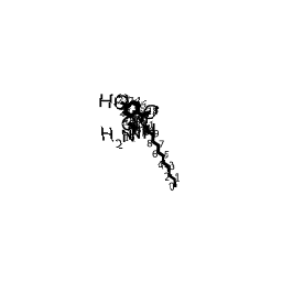 CCCCCCCCCCCCN(C(=O)NN)C(=O)c1ccc(O)cc1